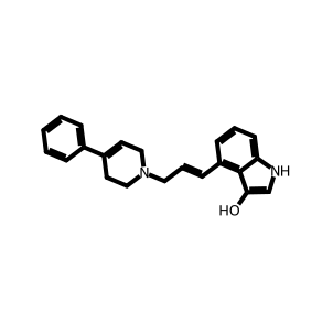 Oc1c[nH]c2cccc(C=CCN3CC=C(c4ccccc4)CC3)c12